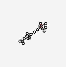 C1=CC2c3ccc4c5ccccc5n(-c5ccccc5)c4c3N(c3nc(-c4ccccc4)nc(-c4ccc(-c5ccc(-c6ccc7c(c6)c6ccccc6n7-c6nccc7c6sc6ccc(-n8c9ccccc9c9ccccc98)cc67)cc5)cc4)n3)C2C=C1